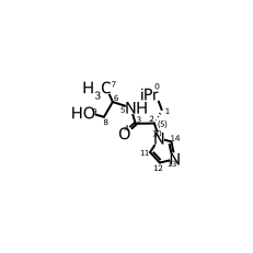 CC(C)C[C@@H](C(=O)NC(C)CO)n1ccnc1